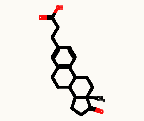 C[C@]12CCC3c4ccc(CCC(=O)O)cc4CCC3C1CCC2=O